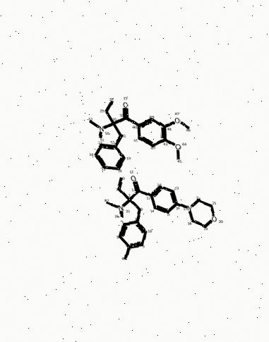 CCC(Cc1ccc(C)cc1)(C(=O)c1ccc(N2CCOCC2)cc1)N(C)C.CCC(Cc1ccccc1)(C(=O)c1ccc(OC)c(OC)c1)N(C)C